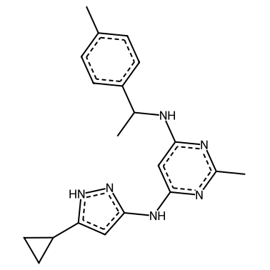 Cc1ccc(C(C)Nc2cc(Nc3cc(C4CC4)[nH]n3)nc(C)n2)cc1